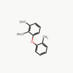 COc1c(C=O)cccc1Oc1ccccc1C